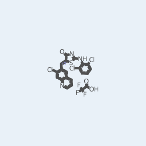 O=C(O)C(F)(F)F.O=C1N=C(Nc2c(Cl)cccc2Cl)S/C1=C\c1cc2cccnc2cc1Cl